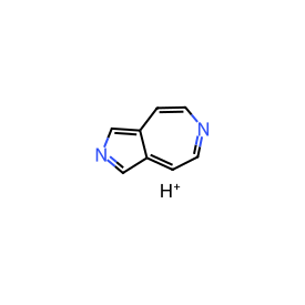 [H+].c1cc2cncc-2ccn1